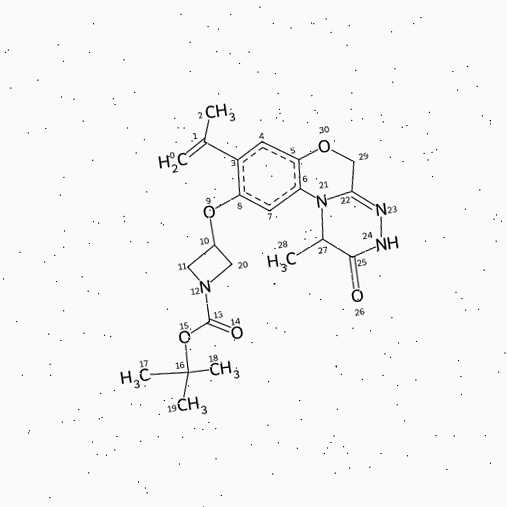 C=C(C)c1cc2c(cc1OC1CN(C(=O)OC(C)(C)C)C1)N1C(=NNC(=O)C1C)CO2